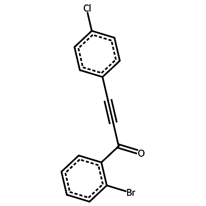 O=C(C#Cc1ccc(Cl)cc1)c1ccccc1Br